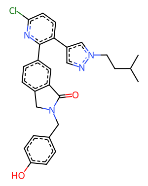 CC(C)CCn1cc(-c2ccc(Cl)nc2-c2ccc3c(c2)C(=O)N(Cc2ccc(O)cc2)C3)cn1